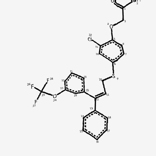 O=C(O)COc1ccc(SC/C=C(/c2ccccc2)c2cccc(OC(F)(F)F)c2)cc1Cl